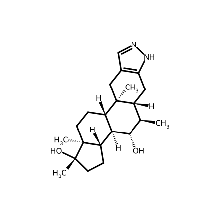 C[C@H]1[C@H](O)[C@@H]2[C@H](CC[C@@]3(C)[C@H]2CC[C@]3(C)O)[C@@]2(C)Cc3cn[nH]c3C[C@H]12